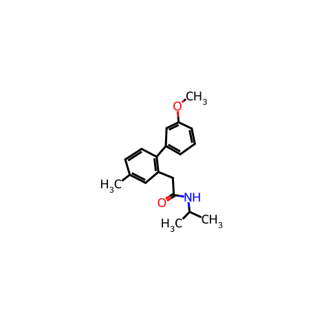 COc1cccc(-c2ccc(C)cc2CC(=O)NC(C)C)c1